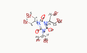 O=c1n(C(CBr)CBr)c(=O)n(C(CBr)CBr)c(=O)n1C(CBr)CBr